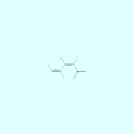 C=C(C)/C(F)=C(Cl)\C(C)=C/C